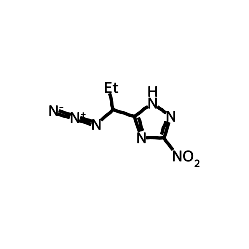 CCC(N=[N+]=[N-])c1nc([N+](=O)[O-])n[nH]1